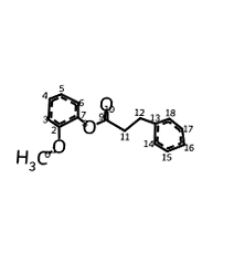 COc1ccccc1OC(=O)CCc1ccccc1